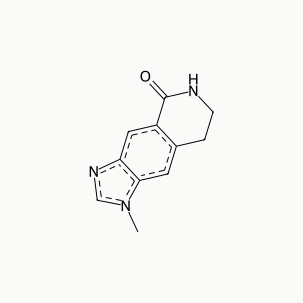 Cn1cnc2cc3c(cc21)CCNC3=O